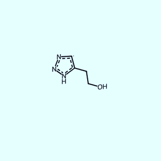 OCCc1[c]nn[nH]1